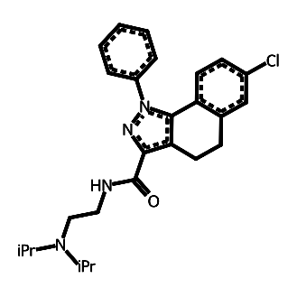 CC(C)N(CCNC(=O)c1nn(-c2ccccc2)c2c1CCc1cc(Cl)ccc1-2)C(C)C